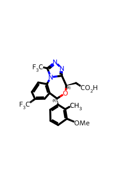 COc1cccc([C@H]2O[C@H](CC(=O)O)c3nnc(C(F)(F)F)n3-c3ccc(C(F)(F)F)cc32)c1C